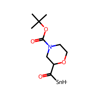 CC(C)(C)OC(=O)N1CCOC([C](=O)[SnH])C1